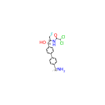 C[C@@H](N)c1ccc(-c2ccc([C@H](O)[C@@H](CF)NC(=O)C(Cl)Cl)cc2)cc1